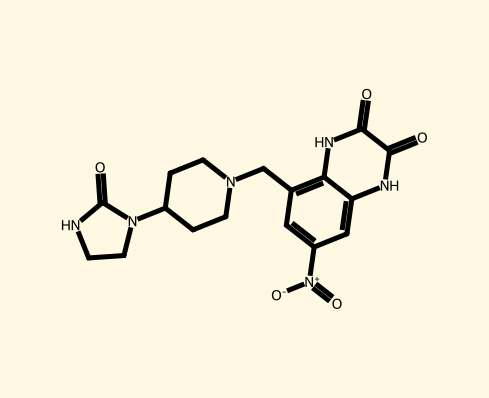 O=C1NCCN1C1CCN(Cc2cc([N+](=O)[O-])cc3[nH]c(=O)c(=O)[nH]c23)CC1